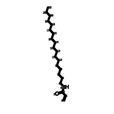 C=CC(=O)BCCCCCCCCCCCCCCCCCC